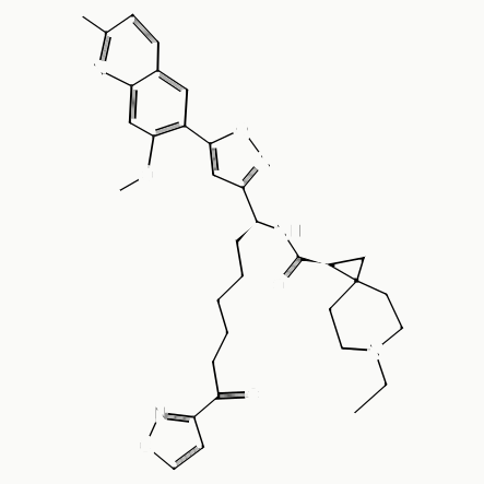 CCN1CCC2(CC1)C[C@@H]2C(=O)N[C@@H](CCCCCC(=O)c1ccon1)c1cc(-c2cc3ccc(C)nc3cc2OC)on1